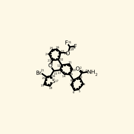 NC(=O)c1ccccc1-c1ccc2c(c1)C(c1sccc1Br)Oc1cccc(OC(F)F)c1-2